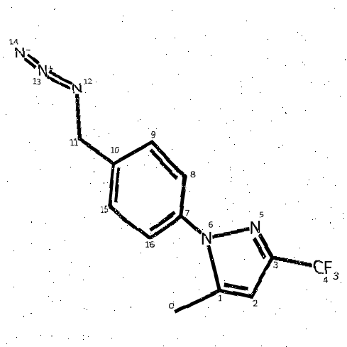 Cc1cc(C(F)(F)F)nn1-c1ccc(CN=[N+]=[N-])cc1